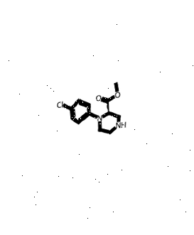 COC(=O)[C@H]1CNCCN1c1ccc(Cl)cc1